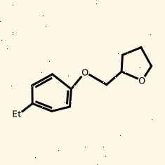 CCc1ccc(OCC2CCCO2)cc1